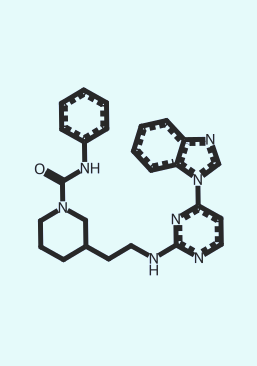 O=C(Nc1ccccc1)N1CCCC(CCNc2nccc(-n3cnc4ccccc43)n2)C1